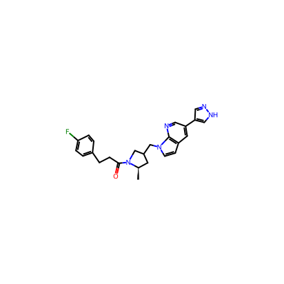 C[C@@H]1CC(Cn2ccc3cc(-c4cn[nH]c4)cnc32)CN1C(=O)CCc1ccc(F)cc1